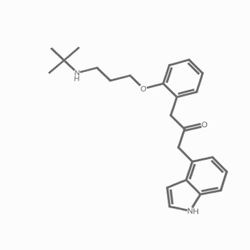 CC(C)(C)NCCCOc1ccccc1CC(=O)Cc1cccc2[nH]ccc12